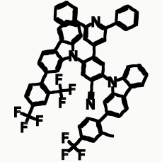 Cc1cc(C(F)(F)F)ccc1-c1ccc2c3ccccc3n(-c3cc(-c4cc(-c5ccccc5)nc(-c5ccccc5)c4)c(-n4c5ccccc5c5ccc(-c6ccc(C(F)(F)F)cc6C(F)(F)F)cc54)cc3C#N)c2c1